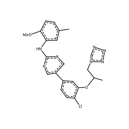 COc1ccc(C)cc1Nc1ncc(-c2ccc(Cl)c(OC(C)Cn3cnnn3)c2)cn1